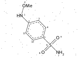 CONc1ccc(S(N)(=O)=O)cc1